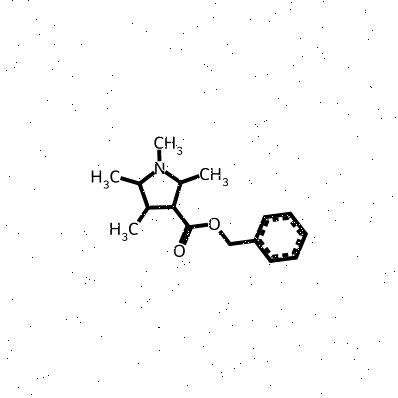 CC1C(C(=O)OCc2ccccc2)C(C)N(C)C1C